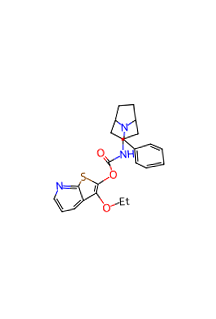 CCOc1c(OC(=O)NC2CC3CCC(C2)N3Cc2ccccc2)sc2ncccc12